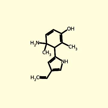 C=Cc1c[nH]c(C2C(C)=C(O)C=CC2(C)N)c1